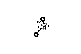 O=C(COc1ccccc1)Nc1nc(-c2ccccc2Br)n[nH]1